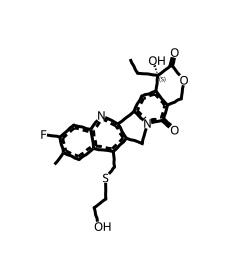 CC[C@@]1(O)C(=O)OCc2c1cc1n(c2=O)Cc2c-1nc1cc(F)c(C)cc1c2CSCCO